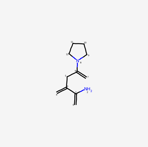 C=C(N)C(=C)CC(=C)N1CCCC1